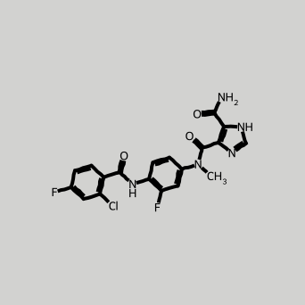 CN(C(=O)c1nc[nH]c1C(N)=O)c1ccc(NC(=O)c2ccc(F)cc2Cl)c(F)c1